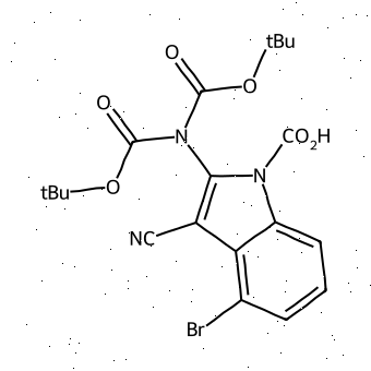 CC(C)(C)OC(=O)N(C(=O)OC(C)(C)C)c1c(C#N)c2c(Br)cccc2n1C(=O)O